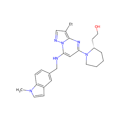 CCc1cnn2c(NCc3ccc4c(ccn4C)c3)cc(N3CCCC[C@H]3CCO)nc12